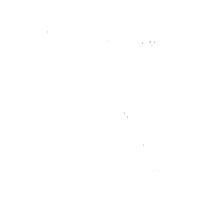 COC(=O)C1CCN(C(=O)OC(C)(C)C)CC1c1ccc(Cl)s1